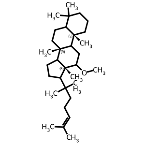 COC1CC2[C@@]3(C)CCCC(C)(C)C3CC[C@@]2(C)C2CCC(C(C)(C)CCC=C(C)C)[C@@]12C